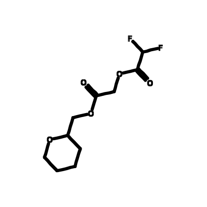 O=C(COC(=O)C(F)F)OCC1CCCCO1